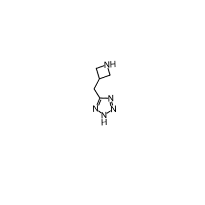 C1NCC1Cc1nn[nH]n1